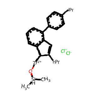 CCCC1=Cc2c(-c3ccc(C(C)C)cc3)cccc2[CH]1[Zr+2][O][SiH](C)C.[Cl-].[Cl-]